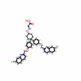 O=C(O)C=NOC1CCC(c2ccc(OCc3ccc4ccc(Cl)cc4n3)cc2)(c2ccc(OCc3ccc4ccc(Cl)cc4n3)cc2)CC1